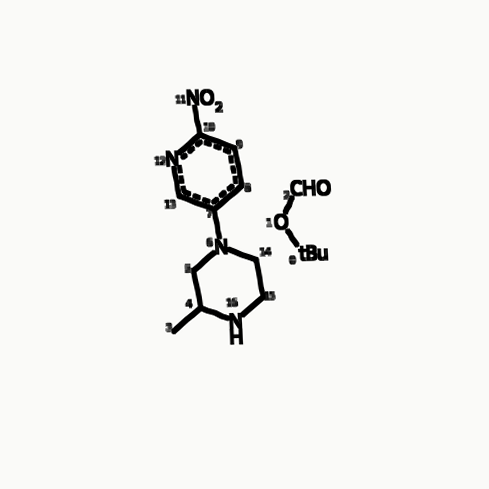 CC(C)(C)OC=O.CC1CN(c2ccc([N+](=O)[O-])nc2)CCN1